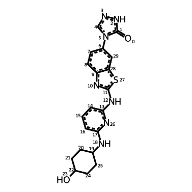 O=c1[nH]ncn1-c1ccc2nc(Nc3cccc(NC4CCC(O)CC4)n3)sc2c1